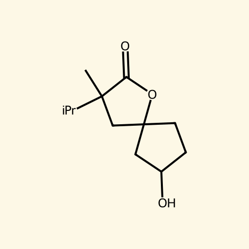 CC(C)C1(C)CC2(CCC(O)C2)OC1=O